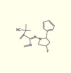 C=N/C(=N\N1CC(F)CC1c1ccccc1)C(=C)C(C)(C)C#N